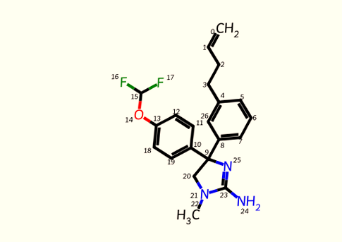 C=CCCc1cccc(C2(c3ccc(OC(F)F)cc3)CN(C)C(N)=N2)c1